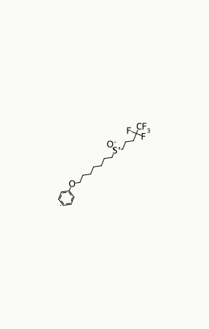 [O-][S+](CCCCCCCOc1cc[c]cc1)CCCC(F)(F)C(F)(F)F